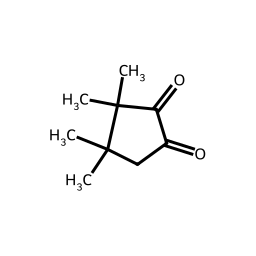 CC1(C)CC(=O)C(=O)C1(C)C